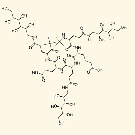 CC(C)(C)N[C@@H](CCC(=O)NC[C@H](O)[C@@H](O)[C@H](O)[C@H](O)CO)C(=O)N[C@@H](CCCC(=O)O)C(=O)N[C@@H](CCC(=O)NC[C@H](O)[C@@H](O)[C@H](O)[C@H](O)CO)C(=O)N[C@@H](CCC(=O)O)C(=O)N[C@@H](CCC(=O)NC[C@H](O)[C@@H](O)[C@H](O)[C@H](O)CO)C(=O)C(C)(C)C